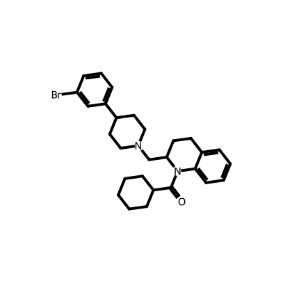 O=C(C1CCCCC1)N1c2ccccc2CCC1CN1CCC(c2cccc(Br)c2)CC1